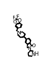 O=C1c2ccc(C3CCN(Cc4ccc5c(c4)OC(F)(F)O5)CC3)cc2CN1C1CCCNC1